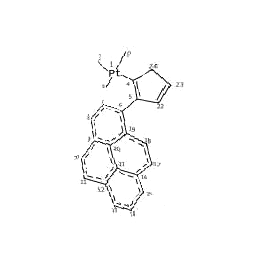 [CH3][Pt]([CH3])([CH3])[C]1=C(c2ccc3ccc4cccc5ccc2c3c45)C=CC1